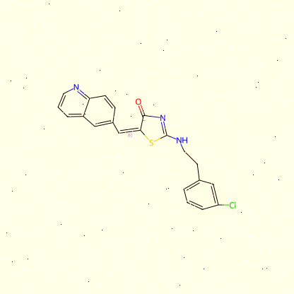 O=C1N=C(NCCc2cccc(Cl)c2)S/C1=C/c1ccc2ncccc2c1